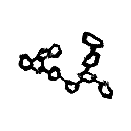 C1=Cn2c(nc3c4ccccc4nc(-c4ccc(-c5cccc(-c6cc(-c7ccccn7)nc(-c7ccc(-c8ccccc8)cc7)n6)c5)cc4)c32)CC1